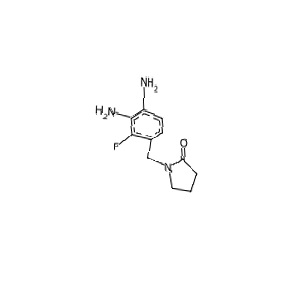 Nc1ccc(CN2CCCC2=O)c(F)c1N